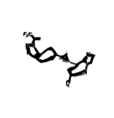 CC(n1ncc2ccc([C@H]3C[C@@H]3c3cc(Cl)nn4ccnc34)cc21)C(F)(F)F